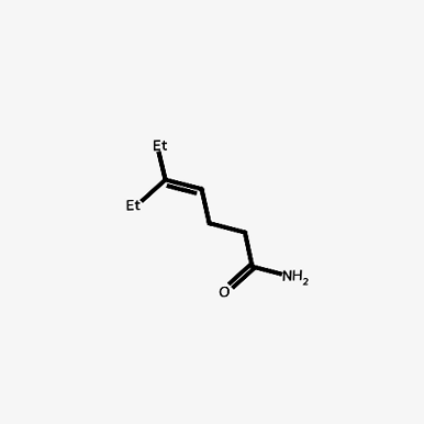 CCC(=CCCC(N)=O)CC